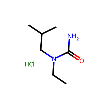 CCN(CC(C)C)C(N)=O.Cl